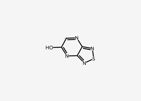 Oc1[c]nc2nsnc2n1